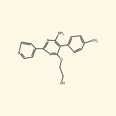 Cc1ccc(-c2c(N)nc(-c3ccncc3)nc2OCCO)cc1